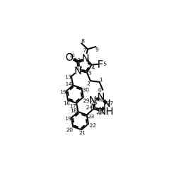 CCCc1c(F)n(C(C)C)c(=O)n1Cc1ccc(-c2ccccc2-c2nnn[nH]2)cc1